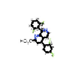 O=C(O)c1cc(-c2ccc(F)cc2F)c2ccnc(-c3c(F)cccc3F)c2n1